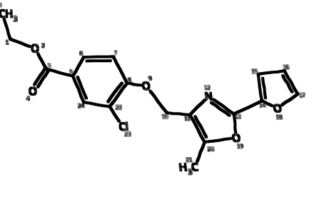 CCOC(=O)c1ccc(OCc2nc(-c3ccco3)oc2C)c(Cl)c1